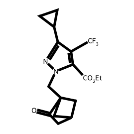 CCOC(=O)c1c(C(F)(F)F)c(C2CC2)nn1CC12CC(CC1=O)C2